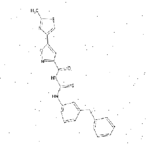 Cc1nc(-c2cc(C(=O)NC(=S)Nc3cccc(Cc4ccccc4)c3)no2)cs1